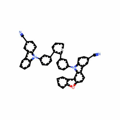 N#Cc1ccc2c(c1)c1ccccc1n2-c1cccc(-c2ccccc2-c2cccc(-n3c4ccc(C#N)cc4c4ccc5oc6ccccc6c5c43)c2)c1